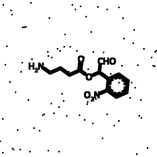 NCCCC(=O)OC(C=O)c1ccccc1[N+](=O)[O-]